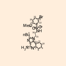 CCCCc1nc2c(N)nc3ccccc3c2n1CCNS(=O)(=O)c1cc(Br)ccc1OC